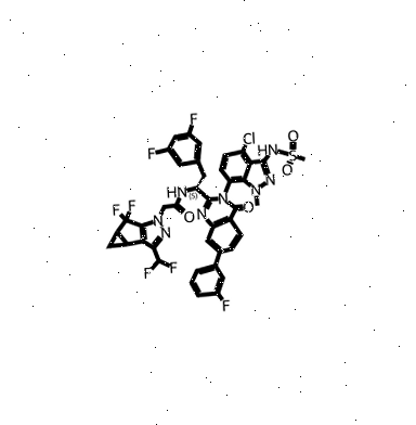 Cn1nc(NS(C)(=O)=O)c2c(Cl)ccc(-n3c([C@H](Cc4cc(F)cc(F)c4)NC(=O)Cn4nc(C(F)F)c5c4C(F)(F)C4CC54)nc4cc(-c5cccc(F)c5)ccc4c3=O)c21